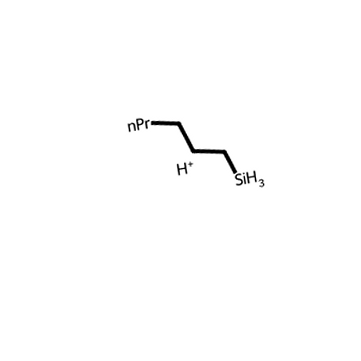 CCCCCC[SiH3].[H+]